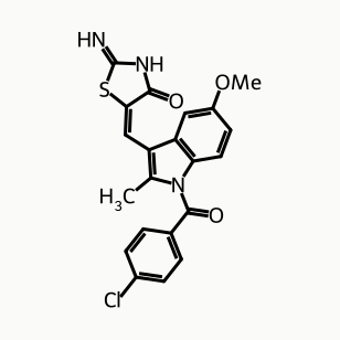 COc1ccc2c(c1)c(/C=C1/SC(=N)NC1=O)c(C)n2C(=O)c1ccc(Cl)cc1